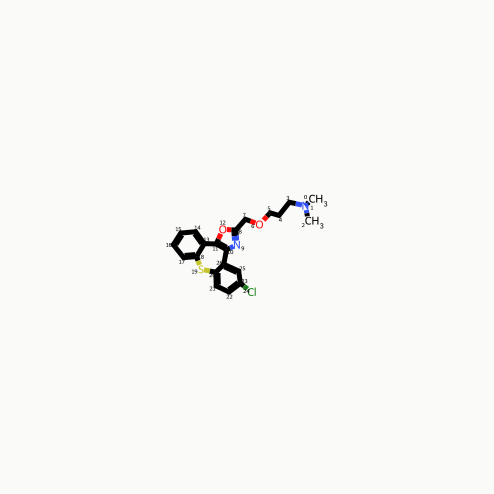 CN(C)CCCOCc1nc2c(o1)-c1ccccc1Sc1ccc(Cl)cc1-2